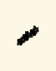 Cc1cccc(S(=O)(=O)[C@H]2C[C@H](CNS(=O)(=O)c3ccc(C(F)(F)F)cc3)C2)c1